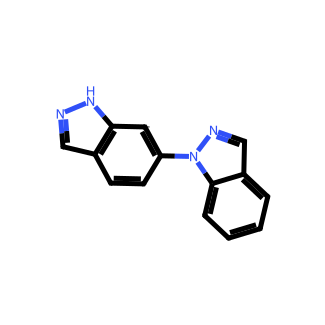 [c]1c(-n2ncc3ccccc32)ccc2cn[nH]c12